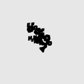 N#CC(=CC1CC1)C(=O)N1CCCC(n2nc(-c3ccc(Oc4cccc(F)c4F)cc3F)c3c(N)ncnc32)C1